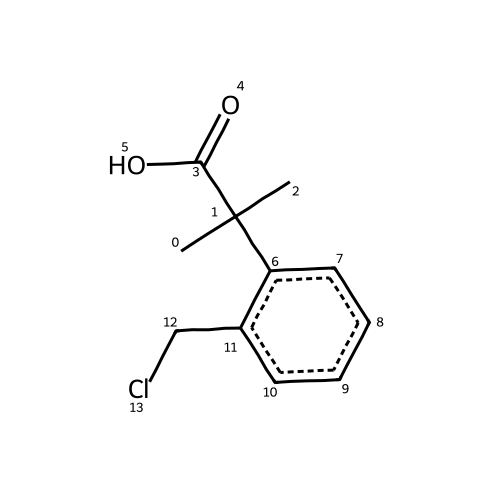 CC(C)(C(=O)O)c1ccccc1CCl